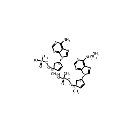 C[C@@]1(OOP(C)(=O)O)C=C[C@H](n2cnc3c(N)ncnc32)C1.C[C@@]1(OOP(C)(=O)O)C=C[C@H](n2cnc3c(N)ncnc32)C1.N.N